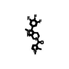 Cc1c(C(=O)N2CCc3c(nn(C)c3-c3cc(F)c(F)c(F)c3)C2)ccn1C